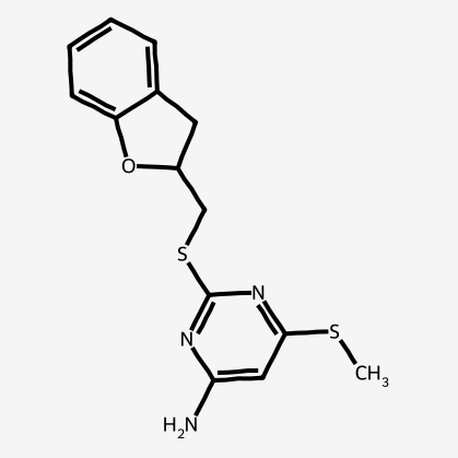 CSc1cc(N)nc(SCC2Cc3ccccc3O2)n1